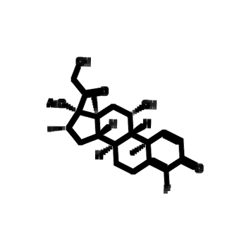 CC(=O)O[C@@]1(C(=O)CO)[C@@H](C)C[C@H]2[C@@H]3CCC4=C(F)C(=O)C=C[C@]4(C)[C@H]3[C@@H](O)C[C@@]21C